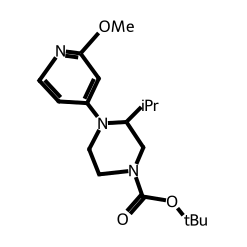 COc1cc(N2CCN(C(=O)OC(C)(C)C)CC2C(C)C)ccn1